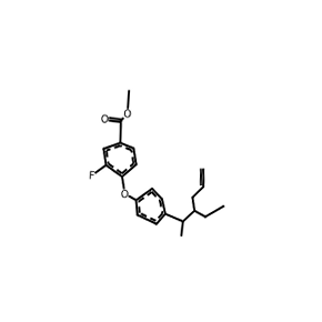 C=CCC(CC)C(C)c1ccc(Oc2ccc(C(=O)OC)cc2F)cc1